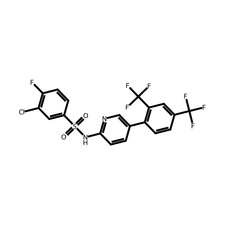 O=S(=O)(Nc1ccc(-c2ccc(C(F)(F)F)cc2C(F)(F)F)cn1)c1ccc(F)c(Cl)c1